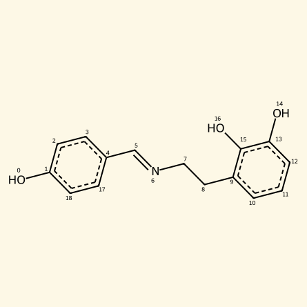 Oc1ccc(C=NCCc2cccc(O)c2O)cc1